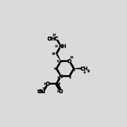 C[C@@H]1CN(C(=O)OC(C)(C)C)C[C@H](CNC=O)O1